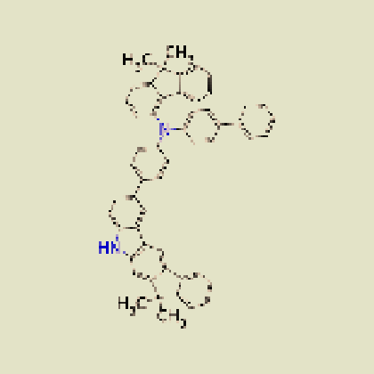 CC1(C)c2ccccc2-c2cc3c(cc21)[nH]c1ccc(-c2ccc(N(c4ccc(-c5ccccc5)cc4)c4cccc5c4-c4ccccc4C5(C)C)cc2)cc13